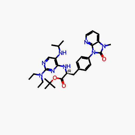 CCN(CC)c1ncc(NC(C)C)c(N[C@@H](Cc2ccc(-n3c(=O)n(C)c4cccnc43)cc2)C(=O)OC(C)(C)C)n1